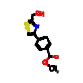 COC(=O)c1ccc(-c2csc(CO)n2)cc1